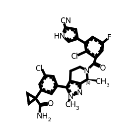 C[C@H]1c2nn(C)c(-c3cc(Cl)cc(C4(C(N)=O)CC4)c3)c2CCN1C(=O)c1cc(F)cc(-c2c[nH]c(C#N)c2)c1Cl